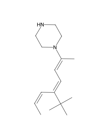 C\C=C/C(=C\C=C(/C)N1CCNCC1)C(C)(C)C